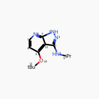 CC(C)Nc1n[nH]c2nccc(OC(C)(C)C)c12